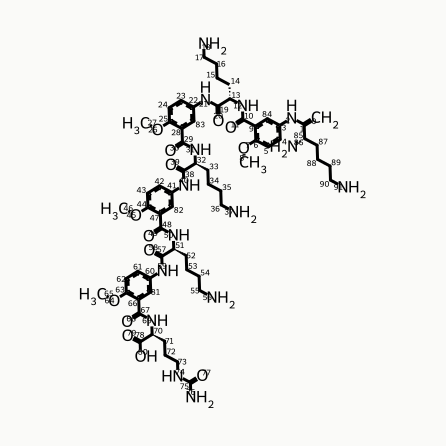 C=C(Nc1ccc(OC)c(C(=O)N[C@@H](CCCCN)C(=O)Nc2ccc(OC)c(C(=O)N[C@@H](CCCCN)C(=O)Nc3ccc(OC)c(C(=O)N[C@@H](CCCCN)C(=O)Nc4ccc(OC)c(C(=O)N[C@@H](CCCNC(N)=O)C(=O)O)c4)c3)c2)c1)[C@@H](N)CCCCN